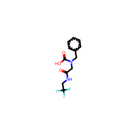 O=C(CN([CH]c1ccccc1)C(=O)O)NCC(F)(F)F